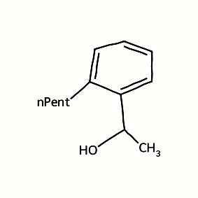 CCCCCc1ccccc1C(C)O